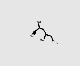 C#CC(O)SC(O)CC